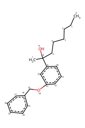 CCCCCCC(C)(O)c1cccc(OCc2ccccc2)c1